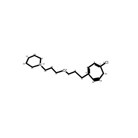 ClC1=CC=C(CCCOCCCN2CCCCC2)C#CC1